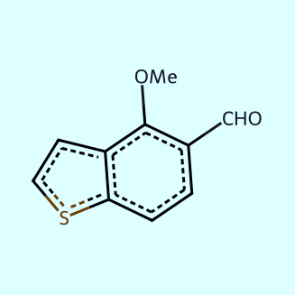 COc1c(C=O)ccc2sccc12